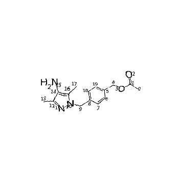 CC(=O)OCc1ccc(Cn2nc(C)c(N)c2C)cc1